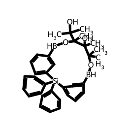 CC(C)(O)C1(C)OBc2cccc(c2)[Si](c2ccccc2)(c2ccccc2)c2cccc(c2)BOC(C)(C)C1(C)O